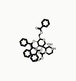 CC(C)(C)OC(=O)N1CCNCC1[C@]1(OC(=O)c2ccccc2)[C@@H](O)O[C@H](COC(=O)c2ccccc2)[C@@H](OC(=O)c2ccccc2)[C@@H]1OC(=O)c1ccccc1